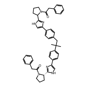 CC(C)(Cc1ccc(-c2c[nH]c(C3CCCN3C(=O)[CH]c3ccccc3)n2)cc1)c1ccc(-c2c[nH]c([C@@H]3CCCN3C(=O)[CH]c3ccccc3)n2)cc1